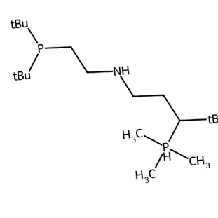 CC(C)(C)C(CCNCCP(C(C)(C)C)C(C)(C)C)[PH](C)(C)C